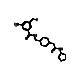 O=C(CN1CCC(CNC(=O)c2cc(CF)cc(C(F)(F)F)c2)CC1)NC1CCCC1